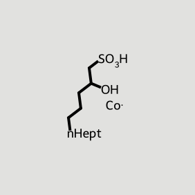 CCCCCCCCCCC(O)CS(=O)(=O)O.[Co]